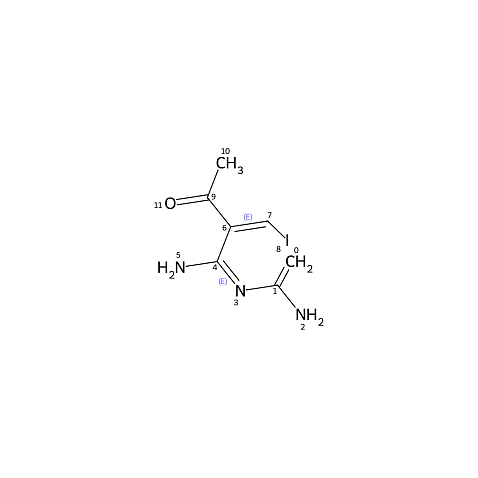 C=C(N)/N=C(N)\C(=C/I)C(C)=O